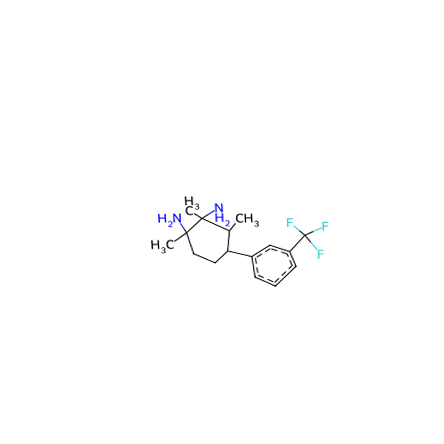 CC1C(c2cccc(C(F)(F)F)c2)CCC(C)(N)C1(C)N